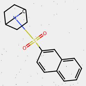 O=S(=O)(c1ccc2ccccc2c1)N1CC2CCC(CC2)C1